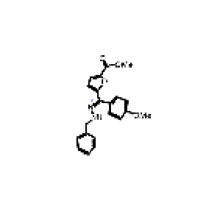 COC(=O)c1ccc(/C(=N/NCc2ccccc2)c2ccc(OC)cc2)o1